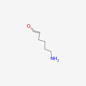 NCCCCC=C=O